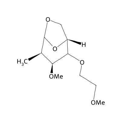 COCCOC1[C@@H](OC)[C@@H](C)C2OC[C@H]1O2